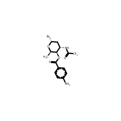 C[C@H]1O[C@H](Br)C[C@H](NC(=O)C(F)(F)F)[C@H]1OC(=O)c1ccc([N+](=O)[O-])cc1